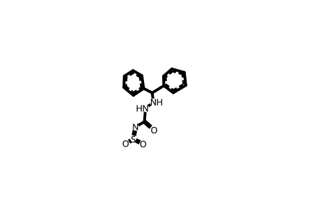 O=C(N=S(=O)=O)NNC(c1ccccc1)c1ccccc1